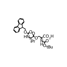 CC(C)[C@H](NC(=O)OCC1c2ccccc2-c2ccccc21)C(=O)OC[C@H](NC(=O)OC(C)(C)C)C(=O)O